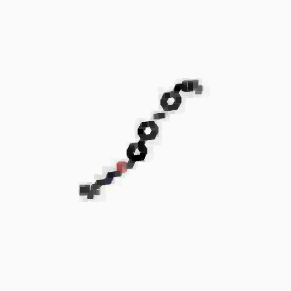 C=C[C@H]1CC[C@H](CC[C@H]2CC[C@H](c3ccc(COC/C=C/CC)cc3)CC2)CC1